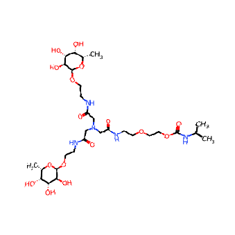 CC(C)NC(=O)OCCOCCNC(=O)CN(CC(=O)NCCO[C@@H]1O[C@@H](C)[C@@H](O)[C@@H](O)[C@@H]1O)CC(=O)NCCO[C@@H]1O[C@@H](C)[C@@H](O)[C@@H](O)[C@@H]1O